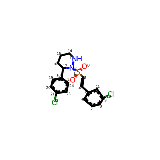 O=S(=O)(C=Cc1cccc(Cl)c1)N1NCCCC1c1ccc(Cl)cc1